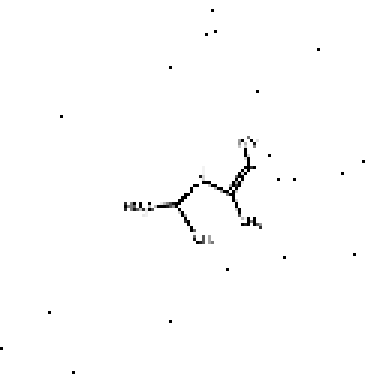 CCCC=C(C)NC(C)C(=O)O